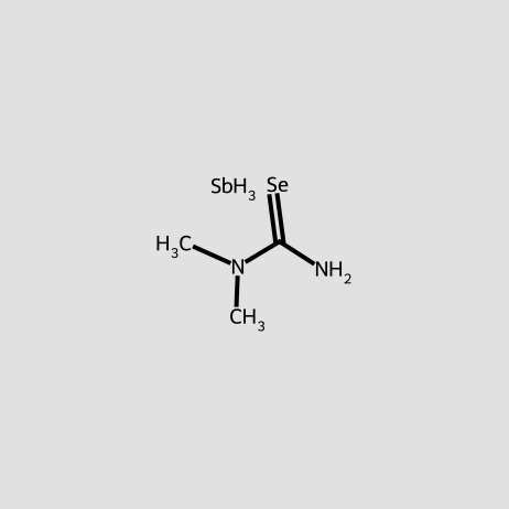 CN(C)C(N)=[Se].[SbH3]